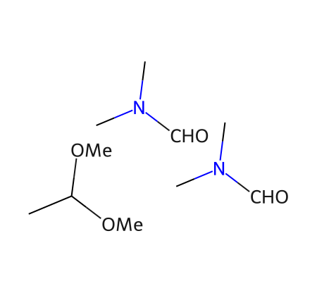 CN(C)C=O.CN(C)C=O.COC(C)OC